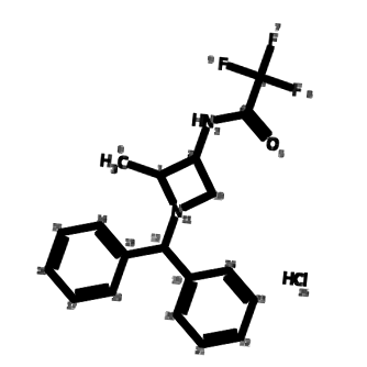 CC1C(NC(=O)C(F)(F)F)CN1C(c1ccccc1)c1ccccc1.Cl